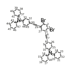 Brc1cc(Br)c(C#Cc2ccc(N(c3ccccc3)c3ccccc3)cc2)cc1C#Cc1ccc(N(c2ccccc2)c2ccccc2)cc1